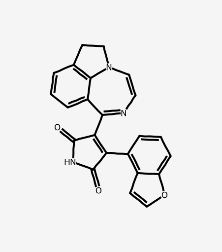 O=C1NC(=O)C(c2cccc3occc23)=C1C1=NC=CN2CCc3cccc1c32